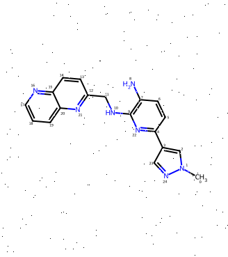 Cn1cc(-c2ccc(N)c(NCc3ccc4ncccc4n3)n2)cn1